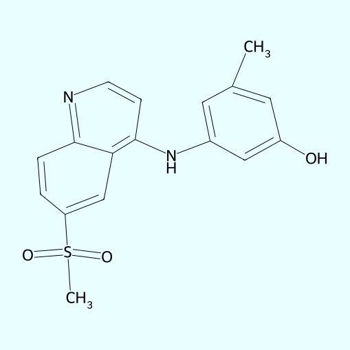 Cc1cc(O)cc(Nc2ccnc3ccc(S(C)(=O)=O)cc23)c1